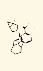 COC1(c2ccnc(C(N)=O)c2)C2CCCC1CN(C[C@H]1CC3C[C@@H]3C1)C2